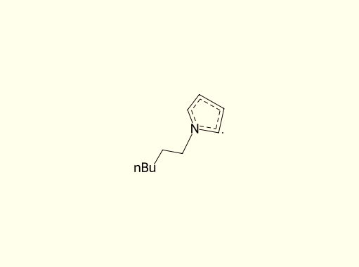 CCCCCCn1[c]ccc1